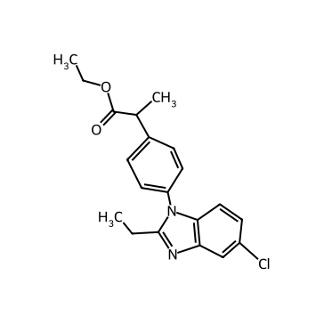 CCOC(=O)C(C)c1ccc(-n2c(CC)nc3cc(Cl)ccc32)cc1